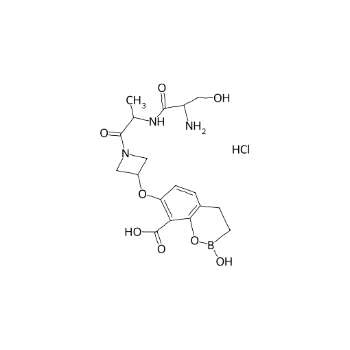 CC(NC(=O)C(N)CO)C(=O)N1CC(Oc2ccc3c(c2C(=O)O)OB(O)CC3)C1.Cl